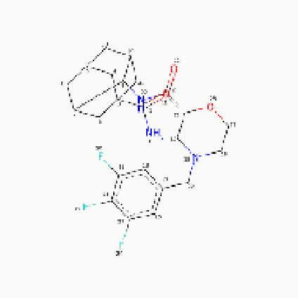 NC(=O)C12CC3CC(C1)C(NC(=O)[C@H]1CN(Cc4cc(F)c(F)c(F)c4)CCO1)C(C3)C2